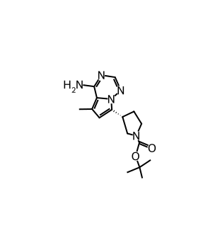 Cc1cc([C@@H]2CCN(C(=O)OC(C)(C)C)C2)n2ncnc(N)c12